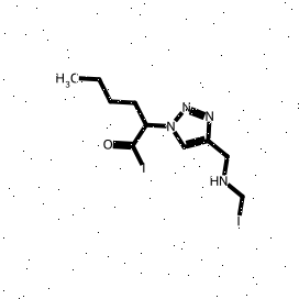 CCCCC(C(=O)I)n1cc(CNCI)nn1